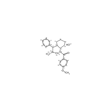 COc1ccc(C(=O)OC2CCCCC2C(c2ccccc2)N(C)C)cc1.Cl